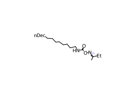 CCCCCCCCCCCCCCCCCCNC(=O)O/N=C(\C)CC